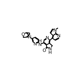 Cn1ccc2c(-c3ncc(Nc4ccc(N5CC6CC5CO6)cn4)c4c3CNC4=O)ccnc21